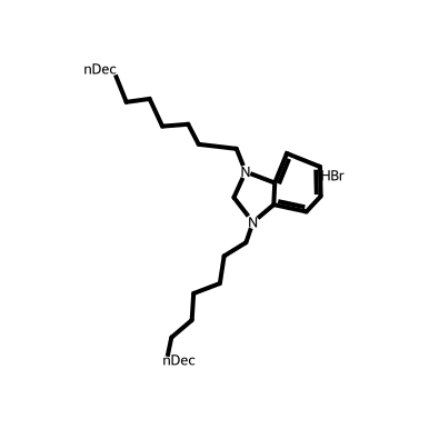 Br.CCCCCCCCCCCCCCCCN1CN(CCCCCCCCCCCCCCCC)c2ccccc21